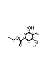 CCOC(=O)c1cc(O)c(C)c(OC)c1